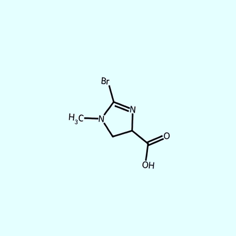 CN1CC(C(=O)O)N=C1Br